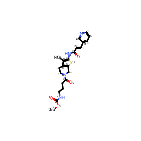 CC(C)(C)OC(=O)NCCCC(=O)N1CCc2c(sc(NC(=O)/C=C/c3cccnc3)c2C#N)C1